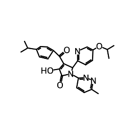 Cc1ccc(N2C(=O)C(O)=C(C(=O)c3ccc(C(C)C)cc3)C2c2ccc(OC(C)C)cn2)nn1